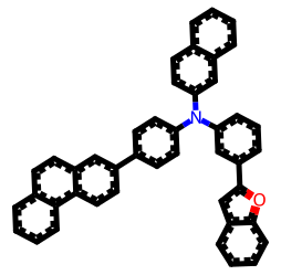 c1cc(-c2cc3ccccc3o2)cc(N(c2ccc(-c3ccc4c(ccc5ccccc54)c3)cc2)c2ccc3ccccc3c2)c1